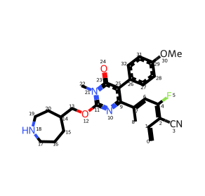 C=C/C(C#N)=C(F)\C=C(/C)c1nc(OCC2CCCNCC2)n(C)c(=O)c1-c1ccc(OC)cc1